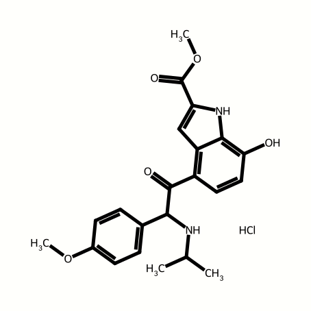 COC(=O)c1cc2c(C(=O)C(NC(C)C)c3ccc(OC)cc3)ccc(O)c2[nH]1.Cl